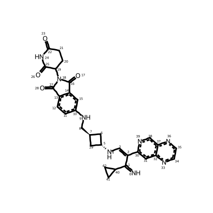 N=C(/C(=C\N[C@H]1C[C@H](CNc2ccc3c(c2)C(=O)N(C2CCC(=O)NC2=O)C3=O)C1)c1cc2nccnc2cn1)C1CC1